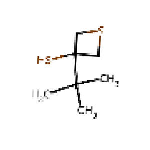 CC(C)(C)C1(S)CSC1